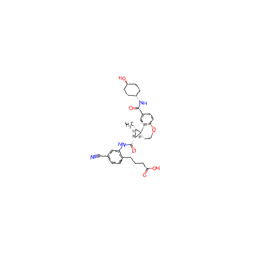 C[C@H]1[C@@H](C(=O)Nc2cc(C#N)ccc2CCCC(=O)O)[C@@]12CCOc1ccc(C(=O)N[C@H]3CC[C@H](O)CC3)cc12